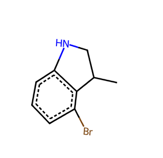 CC1CNc2cccc(Br)c21